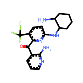 Nc1ncccc1C(=O)c1nc(NC2CCCCC2N)ccc1C(F)(F)F